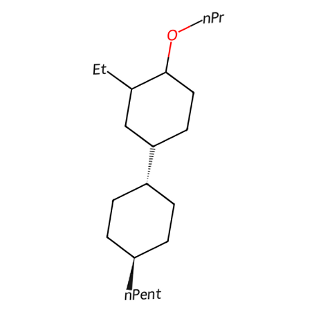 CCCCC[C@H]1CC[C@H](C2CCC(OCCC)C(CC)C2)CC1